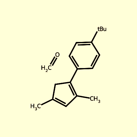 C=O.CC1=CC(C)=C(c2ccc(C(C)(C)C)cc2)C1